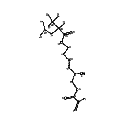 C=C(C)C(=O)OCC(O)COCCOC(=O)C(C)(CC(C)C)C(C)(C)C